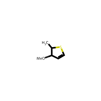 COC1C=CSC1C